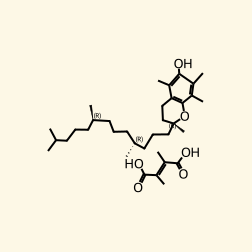 CC(C(=O)O)=C(C)C(=O)O.Cc1c(C)c2c(c(C)c1O)CC[C@@](C)(CCC[C@H](C)CCC[C@H](C)CCCC(C)C)O2